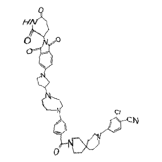 N#Cc1ccc(N2CCC3(CCN(C(=O)c4ccc(N5CCN(C6CCN(c7ccc8c(c7)C(=O)N(C7CCC(=O)NC7=O)C8=O)C6)CC5)cc4)C3)CC2)cc1Cl